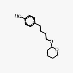 Oc1ccc(CCCCOC2CCCCO2)cc1